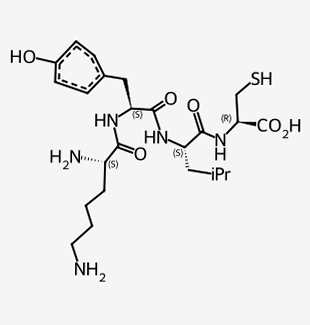 CC(C)C[C@H](NC(=O)[C@H](Cc1ccc(O)cc1)NC(=O)[C@@H](N)CCCCN)C(=O)N[C@@H](CS)C(=O)O